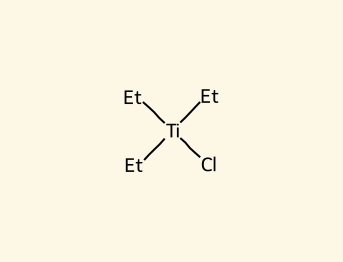 C[CH2][Ti]([Cl])([CH2]C)[CH2]C